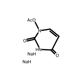 CC(=O)On1ccc(=O)[nH]c1=O.[NaH].[NaH]